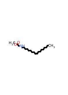 CCCCCCCC/C=C\CCCCCCCCNCC(=O)OC